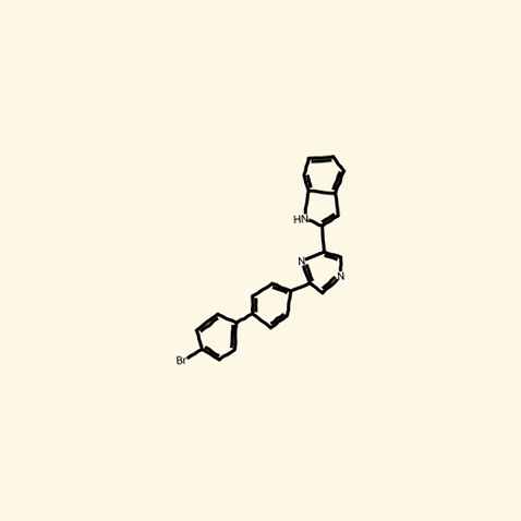 Brc1ccc(-c2ccc(-c3cncc(-c4cc5ccccc5[nH]4)n3)cc2)cc1